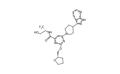 O=C(N[C@H](CO)C(F)(F)F)c1cc(N2CCC(c3n[nH]c4ncccc34)CC2)nc(OC[C@H]2CCCO2)n1